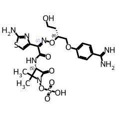 CC1(C)[C@H](NC(=O)/C(=N\O[C@H](CCO)COc2ccc(C(=N)N)cc2)c2csc(N)n2)C(=O)N1OS(=O)(=O)O